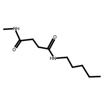 CCCCCNC(=O)CCC(=O)NC